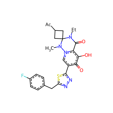 CCN1C(=O)c2c(O)c(=O)c(-c3nnc(Cc4ccc(F)cc4)s3)cn2N(C)C12CC(C(C)=O)C2